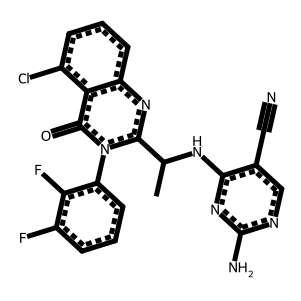 CC(Nc1nc(N)ncc1C#N)c1nc2cccc(Cl)c2c(=O)n1-c1cccc(F)c1F